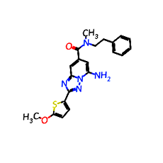 COc1ccc(-c2nc3cc(C(=O)N(C)CCc4ccccc4)cc(N)n3n2)s1